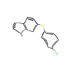 Clc1ccc(Sc2ccc3c(c2)BC=C3)cc1